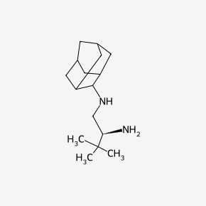 CC(C)(C)[C@H](N)CNC1C2CC3CC(C2)CC1C3